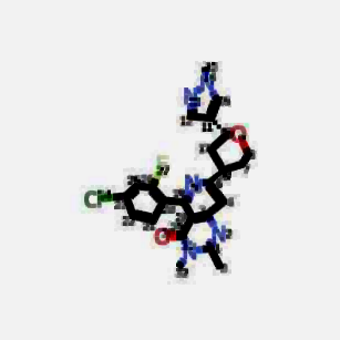 Cc1nc2cc([C@@H]3CCO[C@@H](c4cnn(C)c4)C3)nc(-c3ccc(Cl)cc3F)c2c(=O)n1C